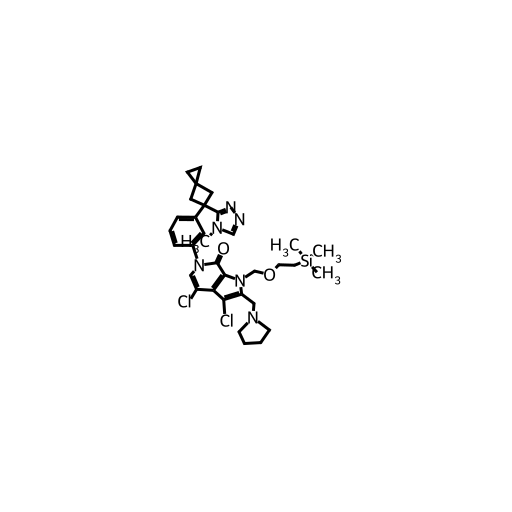 Cn1cnnc1C1(c2cccc(-n3cc(Cl)c4c(Cl)c(CN5CCCC5)n(COCC[Si](C)(C)C)c4c3=O)c2)CC2(CC2)C1